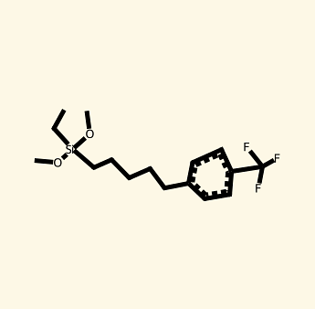 CC[Si](CCCCCc1ccc(C(F)(F)F)cc1)(OC)OC